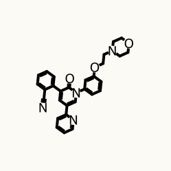 N#Cc1ccccc1-c1cc(-c2ccccn2)cn(-c2cccc(OCCN3CCOCC3)c2)c1=O